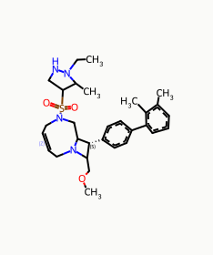 CCN1NCC(S(=O)(=O)N2C/C=C\CN3C(COC)[C@@H](c4ccc(-c5cccc(C)c5C)cc4)C3C2)C1C